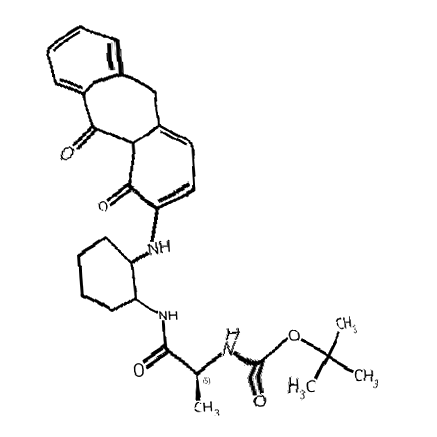 C[C@H](NC(=O)OC(C)(C)C)C(=O)NC1CCCCC1NC1=CC=C2Cc3ccccc3C(=O)C2C1=O